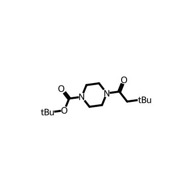 CC(C)(C)CC(=O)N1CCN(C(=O)OC(C)(C)C)CC1